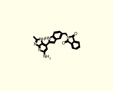 Cc1nc2nc(N)cc(-c3cc4cc(CN5C(=O)c6ccccc6C5=O)ccc4[nH]3)c2[nH]1